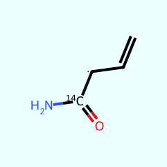 C=C[CH][14C](N)=O